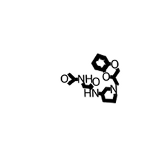 O=C(CNC1COC1)NC1CCCN(CC2COc3ccccc3O2)C1